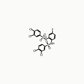 O=S(=O)(Nc1ccc(F)cc1NS(=O)(=O)c1ccc(Cl)c(Cl)c1)c1ccc(Cl)c(Cl)c1